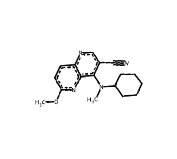 COc1ccc2ncc(C#N)c(N(C)C3CCCCC3)c2n1